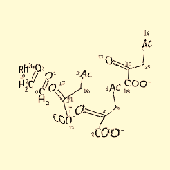 C=O.C=O.CC(=O)CC(=O)C(=O)[O-].CC(=O)CC(=O)C(=O)[O-].CC(=O)CC(=O)C(=O)[O-].[Rh+3]